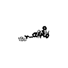 C=C(CCCCc1cccc(Cc2nc3c(Cc4ccccc4)[nH]c(-c4ccccc4)cn-3c2=O)c1)CC(C)(C)C